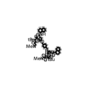 CNCC(=O)N[C@H](C(=O)N1C[C@@H](OCc2ccc(CO[C@H]3C[C@@H](C(=O)N[C@@H]4CCCc5ccccc54)N(C(=O)[C@@H](NC(=O)[C@H](C)NC)C(C)(C)C)C3)cc2)C[C@H]1C(=O)N[C@@H]1CCCc2ccccc21)C(C)(C)C